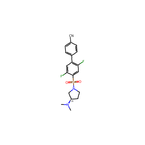 CN(C)[C@@H]1CCN(S(=O)(=O)c2cc(F)c(-c3ccc(C#N)cc3)cc2F)C1